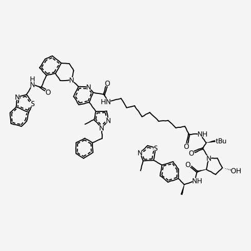 Cc1ncsc1-c1ccc([C@H](C)NC(=O)[C@@H]2C[C@@H](O)CN2C(=O)[C@@H](NC(=O)CCCCCCCCCNC(=O)c2nc(N3CCc4cccc(C(=O)Nc5nc6ccccc6s5)c4C3)ccc2-c2cnn(Cc3ccccc3)c2C)C(C)(C)C)cc1